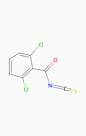 O=C(N=C=S)c1c(Cl)cccc1Cl